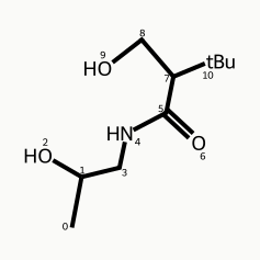 CC(O)CNC(=O)C(CO)C(C)(C)C